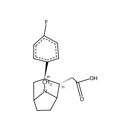 CN1C2CCC1[C@@H](CC(=O)O)[C@H](c1ccc(F)cc1)C2